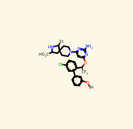 CCC1NC(C(=O)O)CC12CCN(c1cc(O[C@H](c3ccc(Cl)cc3-c3cccc(OC(C)C)c3)C(F)(F)F)nc(N)n1)CC2